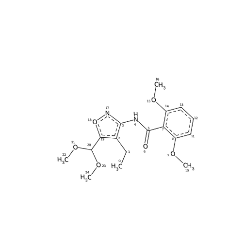 CCc1c(NC(=O)c2c(OC)cccc2OC)noc1C(OC)OC